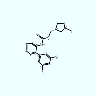 CN1CC[C@@H](COC(=O)Nc2ccccc2-c2cc(F)cc(Cl)c2)C1